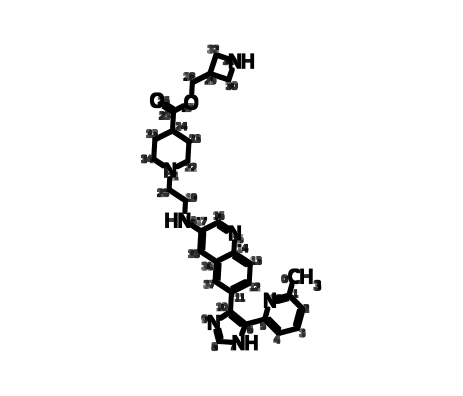 Cc1cccc(-c2[nH]cnc2-c2ccc3ncc(NCCN4CCC(C(=O)OCC5CNC5)CC4)cc3c2)n1